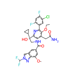 CCOc1c(CC(N)=O)cc([C@@](O)(CNC(=O)c2cc(OC)c3nn(C(F)F)cc3c2)C2CC2)nc1-c1cc(Cl)c(F)cc1F